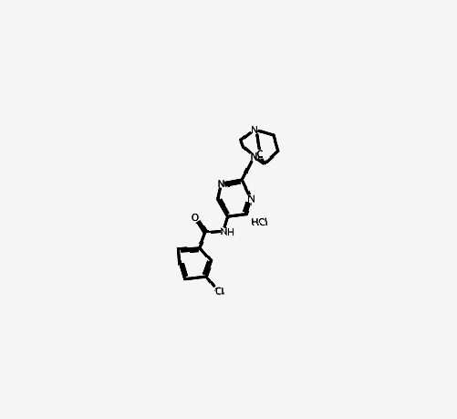 Cl.O=C(Nc1cnc(N2CCN3CCC2CC3)nc1)c1cccc(Cl)c1